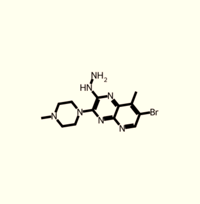 Cc1c(Br)cnc2nc(N3CCN(C)CC3)c(NN)nc12